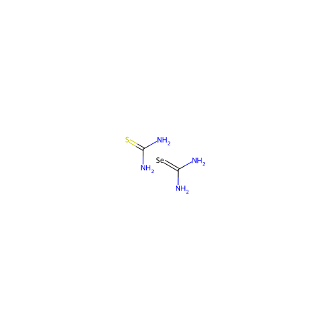 NC(N)=S.NC(N)=[Se]